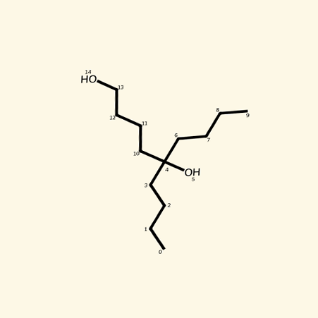 CCCCC(O)(CCCC)CCCCO